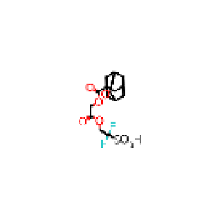 O=C(COC(=O)C12CC3CC(C1)C(=O)C(C3)C2)OCC(F)(F)S(=O)(=O)O